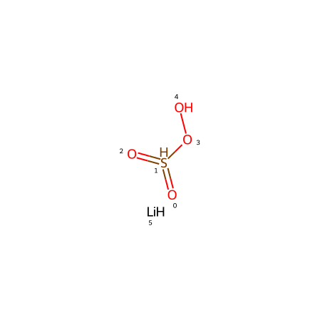 O=[SH](=O)OO.[LiH]